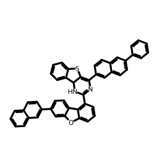 c1ccc(-c2ccc3cc(C4=C5Sc6ccccc6C5NC(c5cccc6oc7cc(-c8ccc9ccccc9c8)ccc7c56)=N4)ccc3c2)cc1